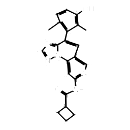 Cc1ccc(O)c(C)c1-c1cc2cnc(NC(=O)C3CCC3)cc2n2ncnc12